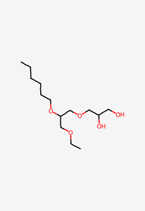 CCCCCCOC(COCC)COCC(O)CO